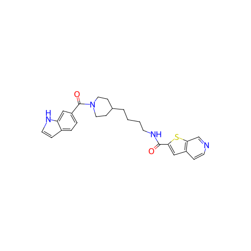 O=C(NCCCCC1CCN(C(=O)c2ccc3cc[nH]c3c2)CC1)c1cc2ccncc2s1